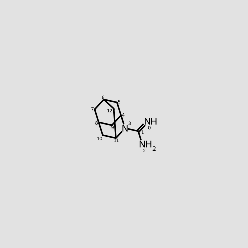 N=C(N)N1C2CC3CC(C2)CC1C3